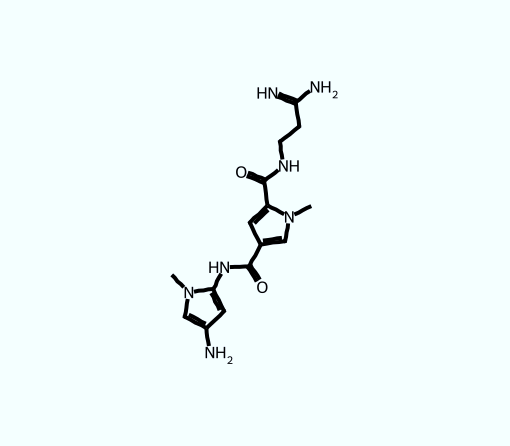 Cn1cc(N)cc1NC(=O)c1cc(C(=O)NCCC(=N)N)n(C)c1